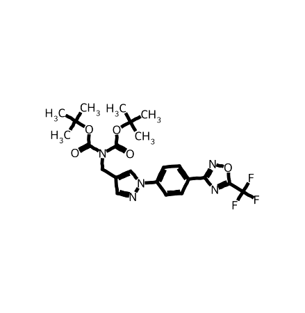 CC(C)(C)OC(=O)N(Cc1cnn(-c2ccc(-c3noc(C(F)(F)F)n3)cc2)c1)C(=O)OC(C)(C)C